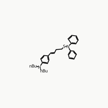 CCCCN(CCCC)c1ccc(C=CCCSN(c2ccccc2)c2ccccc2)cc1